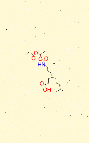 CCC(=O)O[C@@H](C)OC(=O)NCCC[C@H](CCCC(C)C)CCC(=O)O